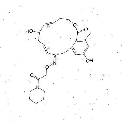 Cc1cc(O)cc2c1C(=O)OCC/C=C/C(O)C/C=C/C(=N\OCC(=O)N1CCCCC1)C2